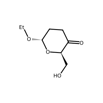 CCO[C@@H]1CCC(=O)[C@@H](CO)O1